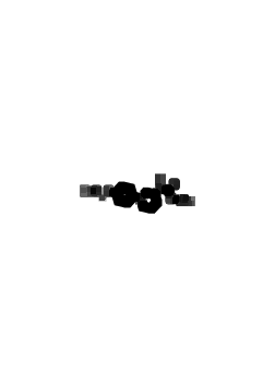 CCOC(=O)c1ccc(N2CCCC(NC(=O)OC(C)(C)C)C2)cc1